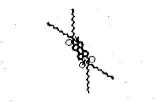 C=CCCCCCCCCC(CCCCCCCCC=C)N1C(=O)c2ccc3c4ccc5c(=C)n(C(CCCCCCCCC=C)CCCCCCCCC=C)c(=O)c6ccc(c7ccc(c2c37)C1=O)c4c56